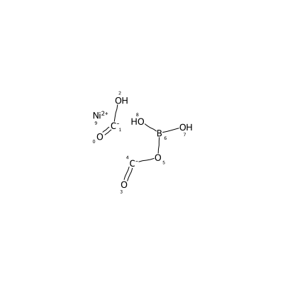 O=[C-]O.O=[C-]OB(O)O.[Ni+2]